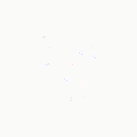 CCc1cccc(CN(C[C@@H](O)[C@@H](N)Cc2cc(F)cc(F)c2)C(=O)CSc2ncccn2)c1